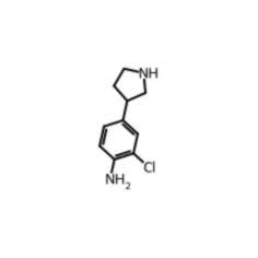 Nc1ccc(C2CCNC2)cc1Cl